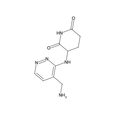 NCc1ccnnc1NC1CCC(=O)NC1=O